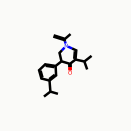 C=C(C)N1C=C(C(C)C)C(=O)C(c2cccc(C(C)C)c2)C1